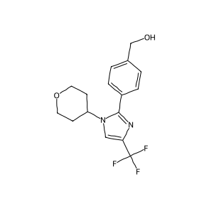 OCc1ccc(-c2nc(C(F)(F)F)cn2C2CCOCC2)cc1